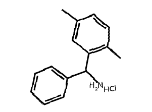 Cc1ccc(C)c(C(N)c2ccccc2)c1.Cl